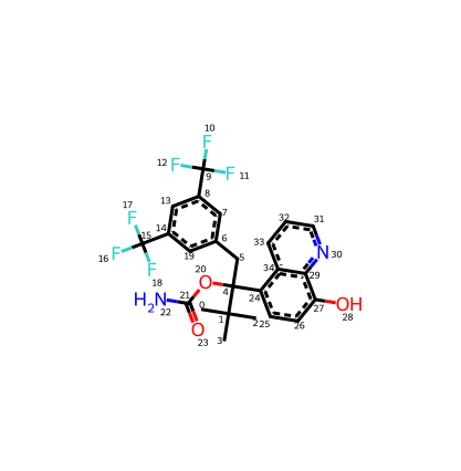 CC(C)(C)C(Cc1cc(C(F)(F)F)cc(C(F)(F)F)c1)(OC(N)=O)c1ccc(O)c2ncccc12